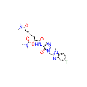 CN(C)C(=O)/C=C/CC[C@H](OC(=O)N(C)C)C(=O)Nc1cncn(Cc2nc3cc(F)ccc3n2C)c1=O